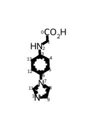 O=C(O)CNc1ccc(-n2ccnc2)cc1